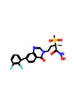 C[C@@](CCn1cnc2cc(-c3cccc(F)c3F)ccc2c1=O)(C(=O)NO)S(C)(=O)=O